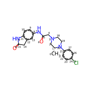 C[C@@H]1CN(CC(=O)Nc2ccc3c(c2)CC(=O)N3)CCN1c1ccc(Cl)cc1